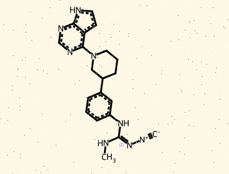 [C-]#[N+]/N=C(/NC)Nc1cccc(C2CCCN(c3ncnc4[nH]ccc34)C2)c1